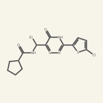 CCC(NC(=O)C1CCCC1)c1nnc(-c2ccc(Cl)s2)[nH]c1=O